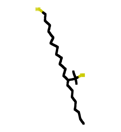 CCCCCCCCC(CCCCCCCCCCCCS)C(C)(C)S